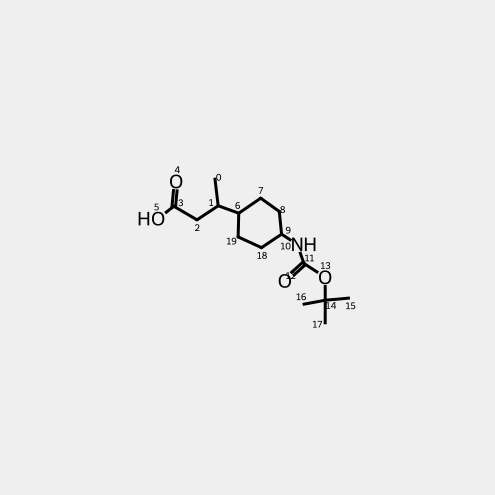 CC(CC(=O)O)C1CCC(NC(=O)OC(C)(C)C)CC1